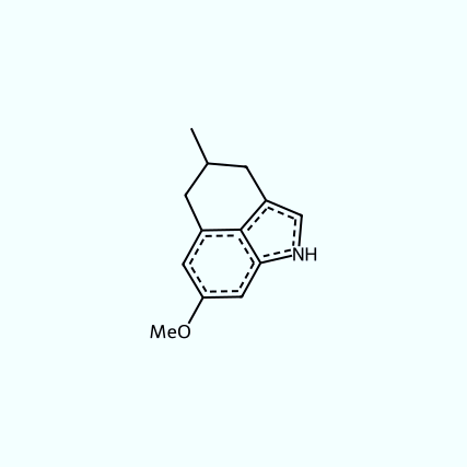 COc1cc2c3c(c[nH]c3c1)CC(C)C2